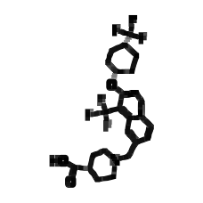 O=C(O)C1CCN(Cc2ccc3ccc(O[C@H]4CC[C@@H](C(F)(F)F)CC4)c(C(F)(F)F)c3c2)CC1